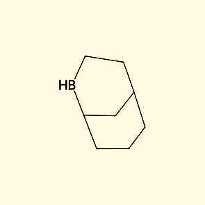 B1CCC2CCCC1C2